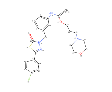 C=C(Nc1cccc(Cn2nc(-c3ccc(F)cc3)sc2=O)c1)OCCCN1CCOCC1